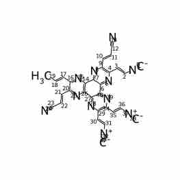 [C-]#[N+]/C=C/c1nc2c(nc1/C=C/C#N)c1nc(/C=C/C)c(/C=C/C#N)nc1c1nc(/C=C/[N+]#[C-])c(/C=C/[N+]#[C-])nc21